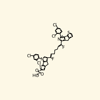 O=S(=O)(O)c1cc2c(s1)-c1c(c(/C(F)=C/CCC/C=C(\F)c3nn(-c4ccc(Cl)cc4Cl)c4c3Cc3ccsc3-4)cn1-c1ccc(Cl)cc1Cl)C2